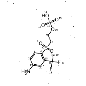 Nc1ccc(S(=O)(=O)CCOS(=O)(=O)O)c(C(F)(F)F)c1